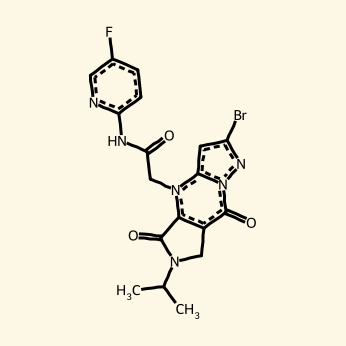 CC(C)N1Cc2c(n(CC(=O)Nc3ccc(F)cn3)c3cc(Br)nn3c2=O)C1=O